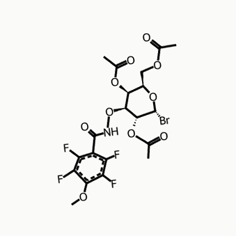 COc1c(F)c(F)c(C(=O)NO[C@@H]2[C@@H](OC(C)=O)[C@@H](Br)O[C@H](COC(C)=O)[C@@H]2OC(C)=O)c(F)c1F